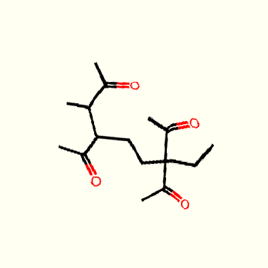 CCC(CCC(C(C)=O)C(C)C(C)=O)(C(C)=O)C(C)=O